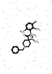 Cc1ccc(Br)c(C)c1NC(=O)C1(N(C)C)CCN(Cc2ccccc2)CC1